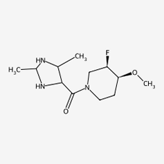 CO[C@H]1CCN(C(=O)C2NC(C)NC2C)C[C@H]1F